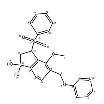 COc1c(COc2cccnc2)ccc2c1C(S(=O)(=O)c1ccccc1)CS2(O)O